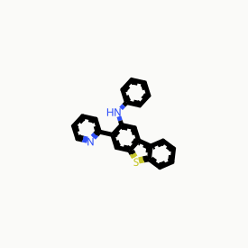 c1ccc(Nc2cc3c(cc2-c2ccccn2)sc2ccccc23)cc1